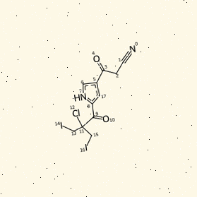 N#CCC(=O)c1c[nH]c(C(=O)C(Cl)(CI)CI)c1